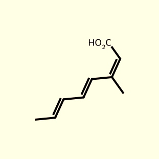 CC=CC=CC(C)=CC(=O)O